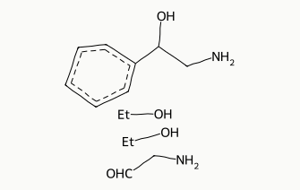 CCO.CCO.NCC(O)c1ccccc1.NCC=O